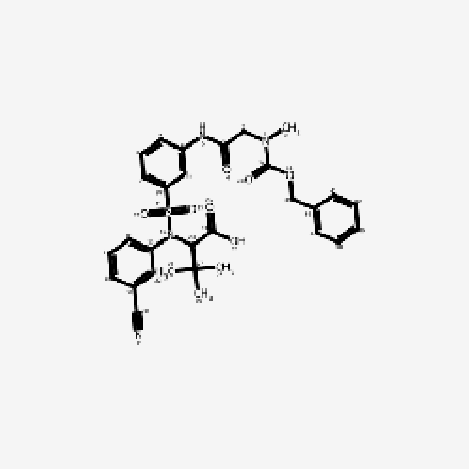 CN(CC(=O)Nc1cccc(S(=O)(=O)N(c2cccc(C#N)c2)C(C(=O)O)C(C)(C)C)c1)C(=O)OCc1ccccc1